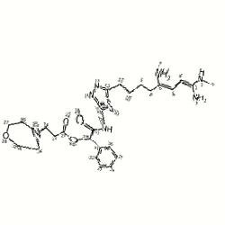 CN/C(N)=C/C=C(\N)CCCCc1nnc(NC(=O)C(OC(=O)CCN2CCOCC2)c2ccccc2)s1